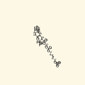 O=C(OCCSCCO[N+](=O)[O-])OCOC(=O)C1=Cc2cc(S(F)(F)(F)(F)F)ccc2OC1C(F)(F)F